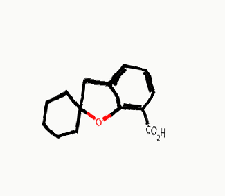 O=C(O)c1cccc2c1OC1(CCCCC1)C2